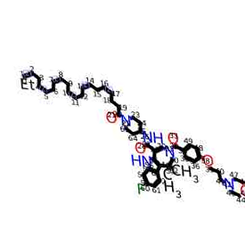 CC/C=C\C/C=C\C/C=C\C/C=C\C/C=C\C/C=C\CCC(=O)N1CCC(NC(=O)C2=CN(C(=O)c3ccc(OCCCN4CCOCC4)cc3)CC(C)(C)c3c2[nH]c2cc(F)ccc32)CC1